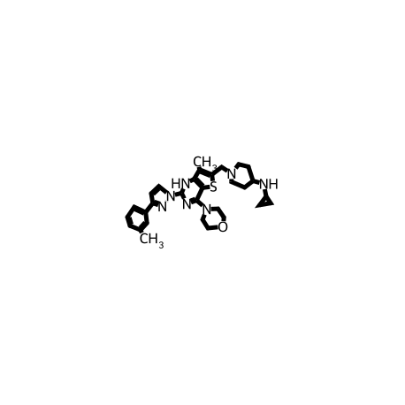 Cc1cccc(-c2ccn(C3N=C(N4CCOCC4)c4sc(CN5CCC(NC6CC6)CC5)c(C)c4N3)n2)c1